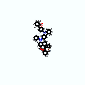 c1ccc(N(c2ccc3c4ccccc4n(-c4ccc5c(c4)oc4ccccc45)c3c2)c2ccc3c4c(cccc24)C2(c4ccccc4Sc4ccccc42)c2ccccc2-3)cc1